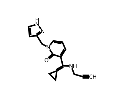 C#CCNC(=C1CC1)c1cccn(Cc2cc[nH]n2)c1=O